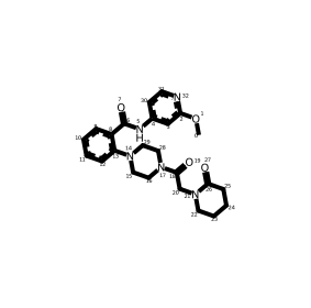 COc1cc(NC(=O)c2ccccc2N2CCN(C(=O)CN3CCCCC3=O)CC2)ccn1